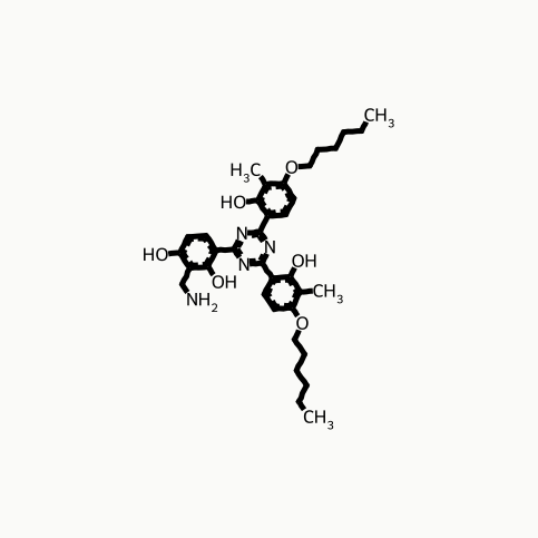 CCCCCCOc1ccc(-c2nc(-c3ccc(OCCCCCC)c(C)c3O)nc(-c3ccc(O)c(CN)c3O)n2)c(O)c1C